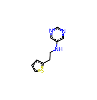 c1csc(CCNc2cncnc2)c1